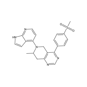 CC1Cc2ncnc(-c3ccc(S(C)(=O)=O)cc3)c2CN1c1ccnc2[nH]ccc12